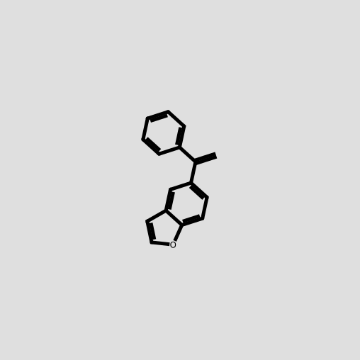 C=C(c1ccccc1)c1ccc2occc2c1